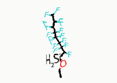 CCO[SiH2]C(F)C(F)(F)C(F)(F)C(F)(F)C(F)(F)C(F)C(F)C(F)F